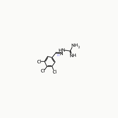 N=C(N)N/N=C/c1cc(Cl)c(Cl)c(Cl)c1